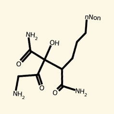 CCCCCCCCCCCCC(C(N)=O)C(O)(C(N)=O)C(=O)CN